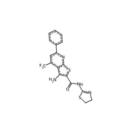 Nc1c(C(=O)NC2=NCCS2)sc2nc(-c3ccccc3)cc(C(F)(F)F)c12